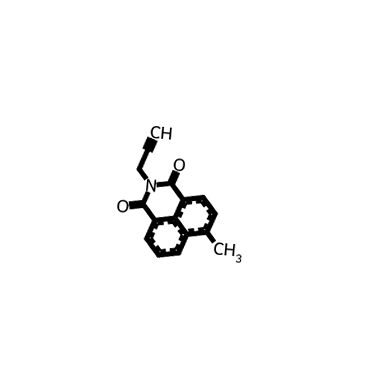 C#CCN1C(=O)c2cccc3c(C)ccc(c23)C1=O